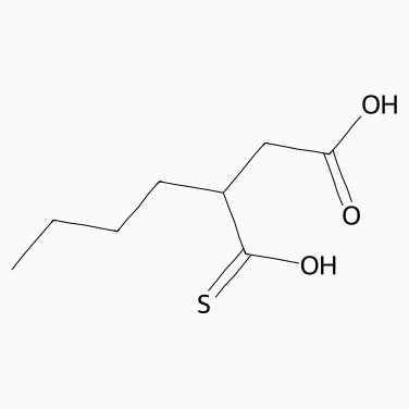 CCCCC(CC(=O)O)C(O)=S